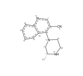 C[C@@H]1CN(c2c(C#N)cnc3ccccc23)CCN1